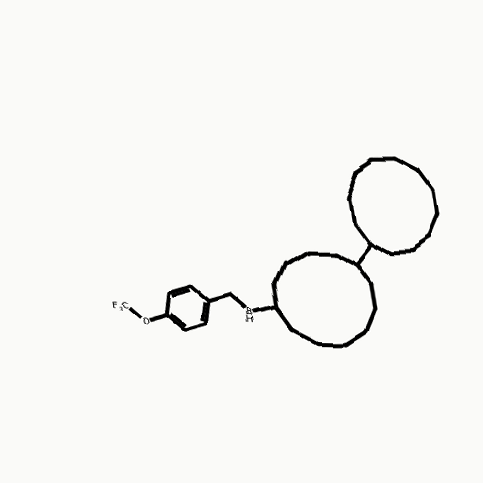 FC(F)(F)Oc1ccc(CBC2CCCCCCC(C3CCCCCCCCCCC3)CCCC2)cc1